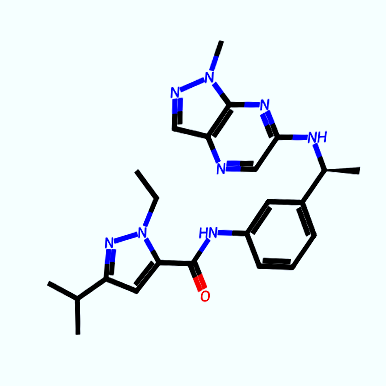 CCn1nc(C(C)C)cc1C(=O)Nc1cccc([C@H](C)Nc2cnc3cnn(C)c3n2)c1